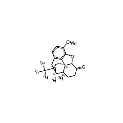 [2H]C([2H])([2H])N1CC[C@]23c4c5ccc(OC)c4OC2C(=O)CC[C@@]3([2H])[C@@]1([2H])C5